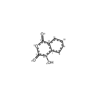 O=c1oc(=O)n(O)c2ccccc12